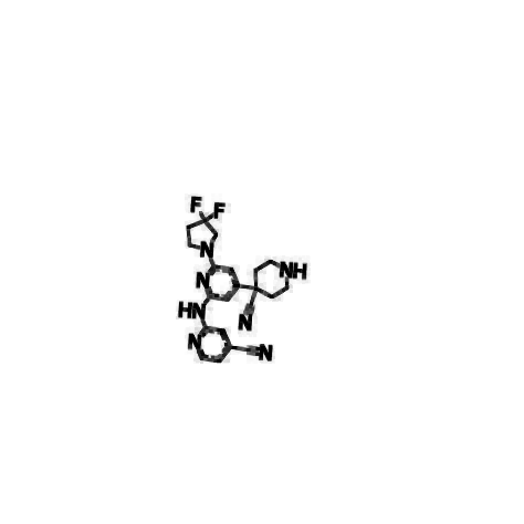 N#Cc1ccnc(Nc2cc(C3(C#N)CCNCC3)cc(N3CCC(F)(F)C3)n2)c1